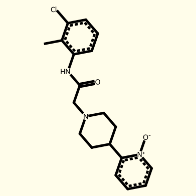 Cc1c(Cl)cccc1NC(=O)CN1CCC(c2cccc[n+]2[O-])CC1